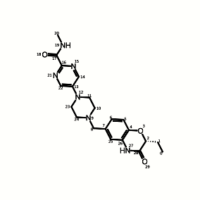 CC[C@H]1Oc2ccc(CN3CCN(c4cnc(C(=O)NC)nc4)CC3)cc2NC1=O